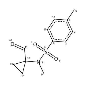 Cc1ccc(S(=O)(=O)N(C)C2([C]=O)CC2)cc1